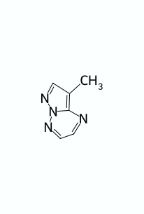 Cc1cnn2nccnc12